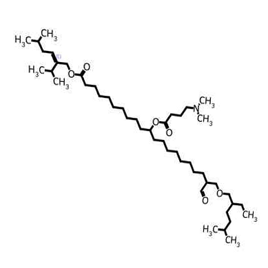 CCC(CCC(C)C)COCC(C=O)CCCCCCCCC(CCCCCCCCCC(=O)OC/C(=C/CC(C)C)C(C)C)OC(=O)CCCN(C)C